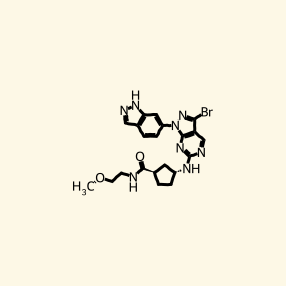 COCCNC(=O)[C@@H]1CC[C@@H](Nc2ncc3c(Br)nn(-c4ccc5cn[nH]c5c4)c3n2)C1